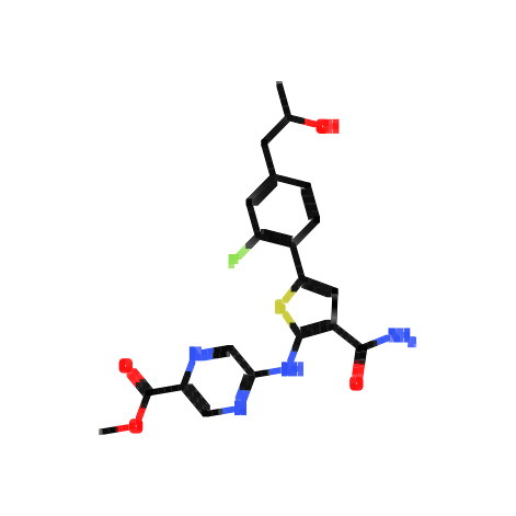 COC(=O)c1cnc(Nc2sc(-c3ccc(CC(C)O)cc3F)cc2C(N)=O)cn1